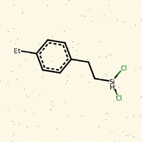 CCc1ccc(CC[SiH](Cl)Cl)cc1